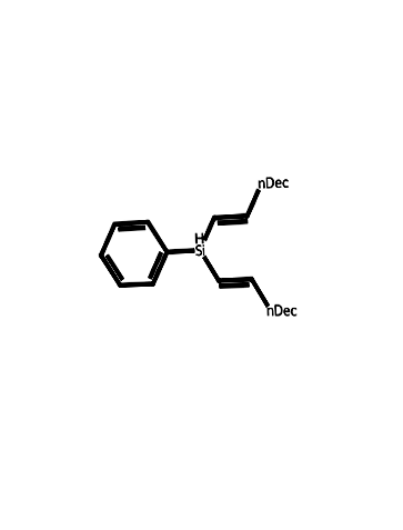 CCCCCCCCCC/C=C/[SiH](/C=C/CCCCCCCCCC)c1ccccc1